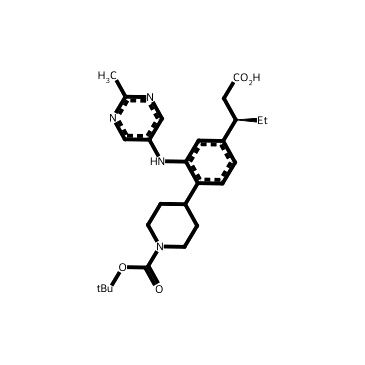 CC[C@H](CC(=O)O)c1ccc(C2CCN(C(=O)OC(C)(C)C)CC2)c(Nc2cnc(C)nc2)c1